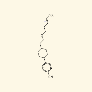 CCCC/C=C/CCOCCC1CCC(c2ccc(C#N)cc2)CC1